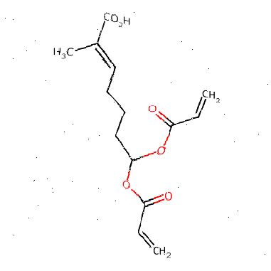 C=CC(=O)OC(CCCC=C(C)C(=O)O)OC(=O)C=C